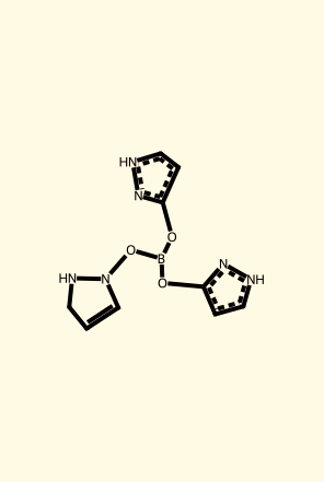 C1=CN(OB(Oc2cc[nH]n2)Oc2cc[nH]n2)NC1